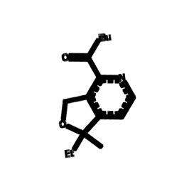 CCC(C)C(=O)c1nccc2c1COC2(C)CC